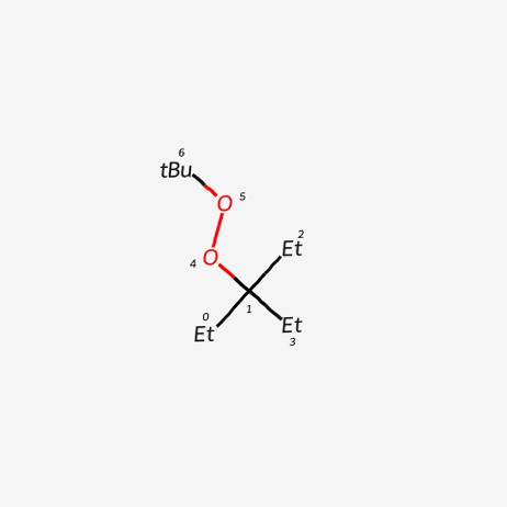 CCC(CC)(CC)OOC(C)(C)C